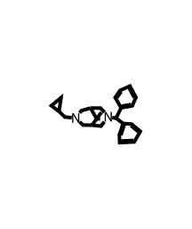 CC1(C)C2CN(CC3CC3)CC1CN(C(c1ccccc1)c1ccccc1)C2